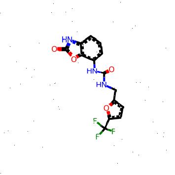 O=C(NCc1ccc(C(F)(F)F)o1)Nc1cccc2[nH]c(=O)oc12